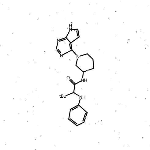 CC(C)(C)C(Nc1ccccc1)C(=O)NC1CCCN(c2ncnc3[nH]ccc23)C1